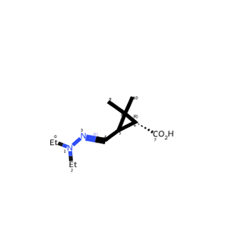 CCN(CC)/N=C/C1[C@@H](C(=O)O)C1(C)C